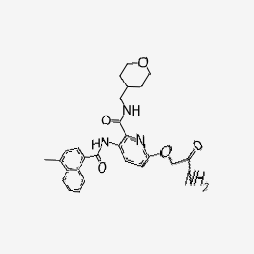 Cc1ccc(C(=O)Nc2ccc(OCC(N)=O)nc2C(=O)NCC2CCOCC2)c2ccccc12